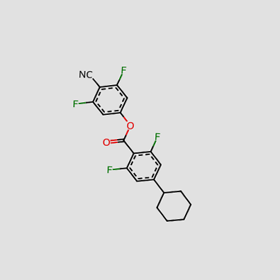 N#Cc1c(F)cc(OC(=O)c2c(F)cc(C3CCCCC3)cc2F)cc1F